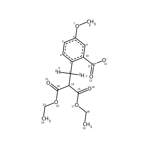 [2H]C([2H])(c1ccc(OC)cc1[N+](=O)[O-])C(C(=O)OCC)C(=O)OCC